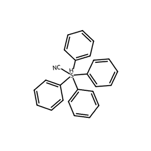 N#C[SH](c1ccccc1)(c1ccccc1)(c1ccccc1)c1ccccc1